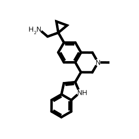 CN1Cc2cc(C3(CN)CC3)ccc2C(c2cc3ccccc3[nH]2)C1